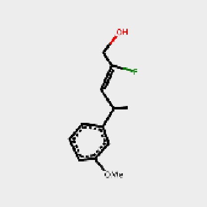 COc1cccc(C(C)C=C(F)CO)c1